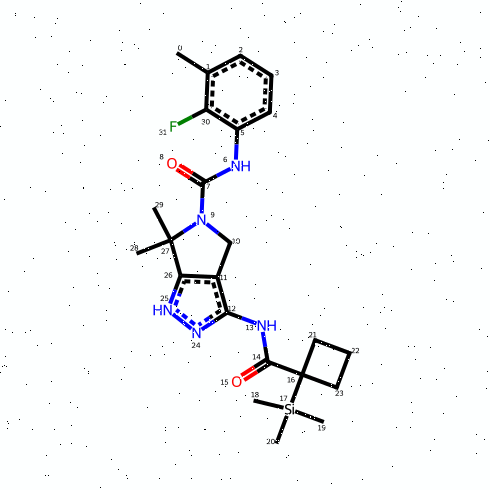 Cc1cccc(NC(=O)N2Cc3c(NC(=O)C4([Si](C)(C)C)CCC4)n[nH]c3C2(C)C)c1F